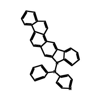 c1ccc(N(c2ccncc2)n2c3ccccc3c3cc4c(ccc5c6ccccc6ccc45)cc32)cc1